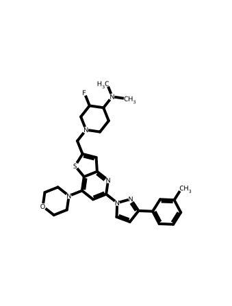 Cc1cccc(-c2ccn(-c3cc(N4CCOCC4)c4sc(CN5CCC(N(C)C)C(F)C5)cc4n3)n2)c1